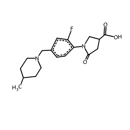 CC1CCN(Cc2ccc(N3CC(C(=O)O)CC3=O)c(F)c2)CC1